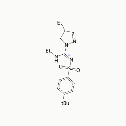 CCN/C(=N\S(=O)(=O)c1ccc(C(C)(C)C)cc1)N1CC(CC)C=N1